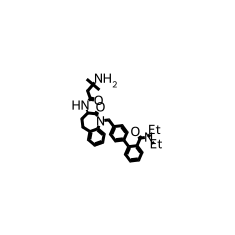 CCN(CC)C(=O)c1ccccc1-c1ccc(CN2C(=O)[C@H](NC(=O)CC(C)(C)N)CCc3ccccc32)cc1